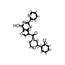 O=C(c1csc2c(O)nc(-c3ccccn3)nc12)N1CCOC(c2ccccc2Cl)C1